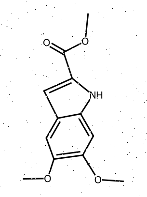 COC(=O)c1cc2cc(OC)c(OC)cc2[nH]1